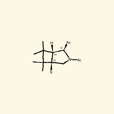 CC(=O)[C@@H]1[C@@H]2[C@H](CN1C(C)=O)C(C)(C)C2(C)C